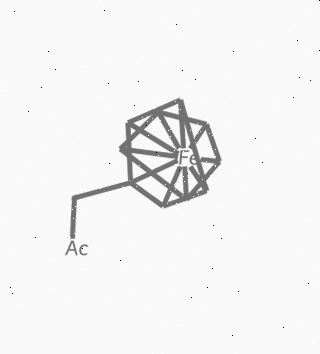 CC(=O)C[C]12[CH]3[CH]4[CH]5[CH]1[Fe]45321678[CH]2[CH]1[CH]6[CH]7[CH]28